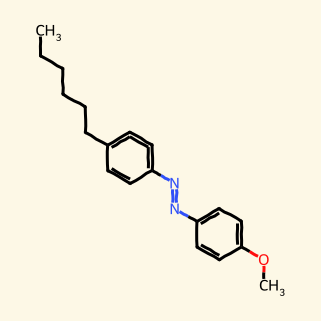 CCCCCCC1=C=C=C(/N=N/c2ccc(OC)cc2)C=C1